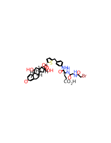 C[C@]12C=CC(=O)C=C1CC[C@@H]1[C@@H]2[C@@H](O)C[C@@]2(C)[C@H]1C[C@H]1O[C@@H](c3ccc(Cc4ccc(NC(=O)[C@H](CCC(=O)O)NC(=O)CNC(=O)CBr)cc4)s3)O[C@]12C(=O)CO